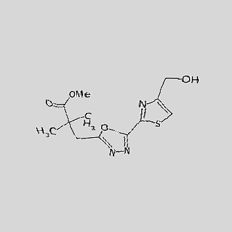 COC(=O)C(C)(C)Cc1nnc(-c2nc(CO)cs2)o1